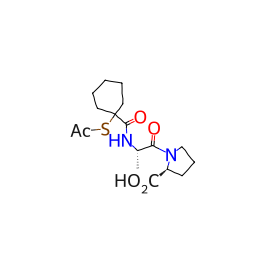 CC(=O)SC1(C(=O)N[C@@H](C)C(=O)N2CCC[C@H]2C(=O)O)CCCCC1